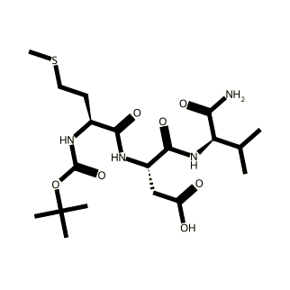 CSCC[C@H](NC(=O)OC(C)(C)C)C(=O)N[C@@H](CC(=O)O)C(=O)N[C@@H](C(N)=O)C(C)C